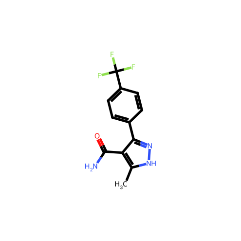 Cc1[nH]nc(-c2ccc(C(F)(F)F)cc2)c1C(N)=O